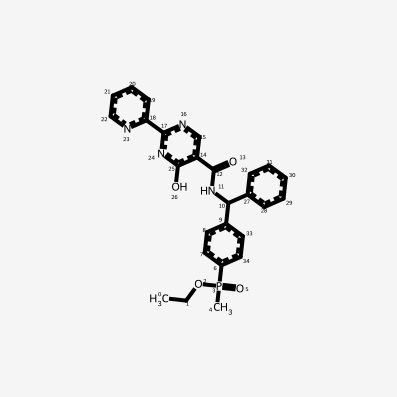 CCOP(C)(=O)c1ccc(C(NC(=O)c2cnc(-c3ccccn3)nc2O)c2ccccc2)cc1